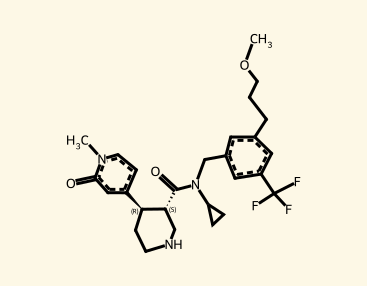 COCCCc1cc(CN(C(=O)[C@@H]2CNCC[C@H]2c2ccn(C)c(=O)c2)C2CC2)cc(C(F)(F)F)c1